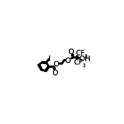 O=C(OCCOC(=O)C(O)(C(F)(F)F)C(F)(F)F)c1ccccc1I